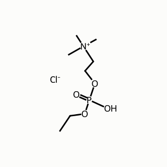 CCOP(=O)(O)OCC[N+](C)(C)C.[Cl-]